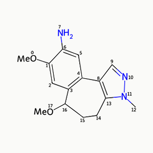 COc1cc2c(cc1N)-c1cnn(C)c1CCC2OC